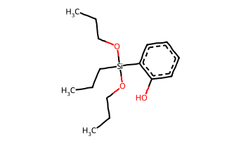 CCCO[Si](CCC)(OCCC)c1ccccc1O